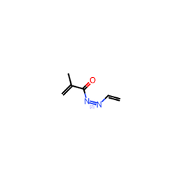 C=C/N=N\C(=O)C(=C)C